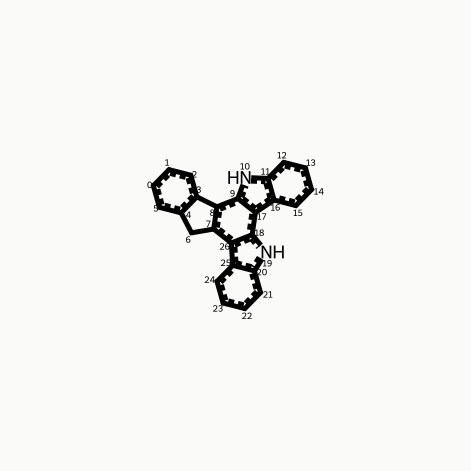 c1ccc2c(c1)Cc1c-2c2[nH]c3ccccc3c2c2[nH]c3ccccc3c12